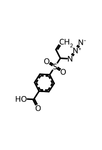 C=CC(N=[N+]=[N-])S(=O)(=O)c1ccc(C(=O)O)cc1